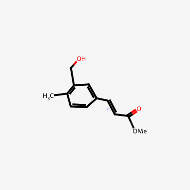 COC(=O)/C=C/c1ccc(C)c(CO)c1